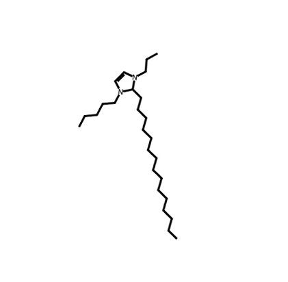 CCCCCCCCCCCCCCCC1N(CCC)C=CN1CCCCC